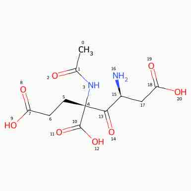 CC(=O)N[C@@](CCC(=O)O)(C(=O)O)C(=O)[C@@H](N)CC(=O)O